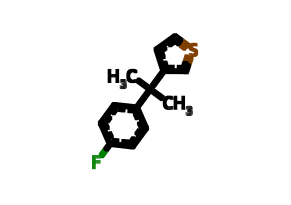 CC(C)(c1ccc(F)cc1)c1ccsc1